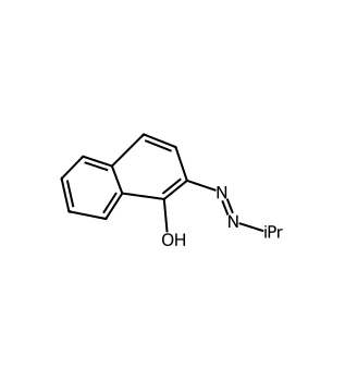 CC(C)N=Nc1ccc2ccccc2c1O